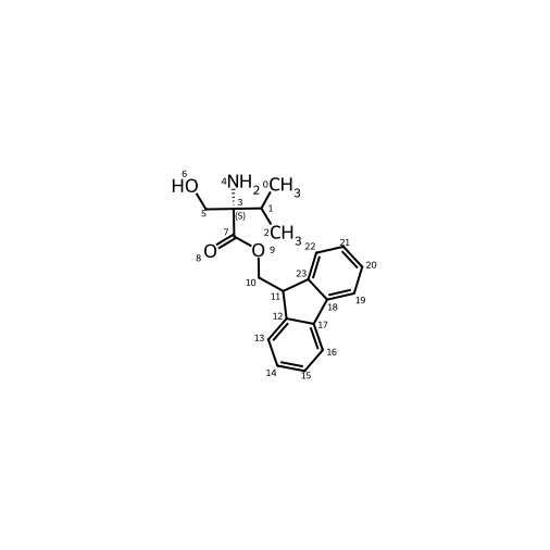 CC(C)[C@](N)(CO)C(=O)OCC1c2ccccc2-c2ccccc21